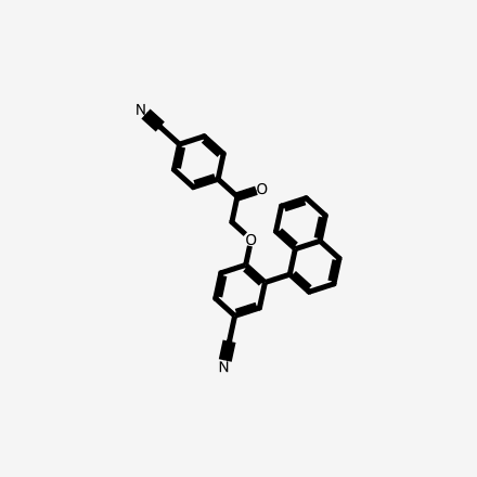 N#Cc1ccc(C(=O)COc2ccc(C#N)cc2-c2cccc3ccccc23)cc1